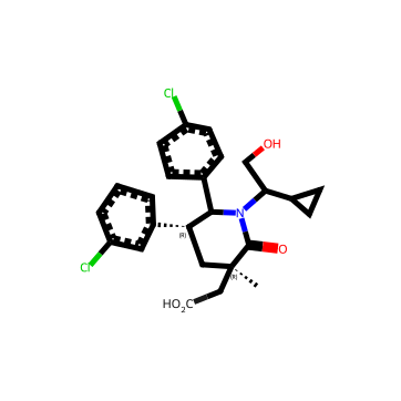 C[C@]1(CC(=O)O)C[C@H](c2cccc(Cl)c2)C(c2ccc(Cl)cc2)N(C(CO)C2CC2)C1=O